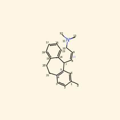 Cc1ccc2c(c1)C(/C=C\CN(C)C)c1ccccc1CC2